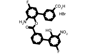 Br.Nc1cc(F)cc(-c2cccc(C(=O)O)c2)c1OC(=O)c1cccc(-c2cc(F)cc([N+](=O)[O-])c2O)c1